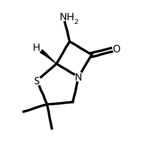 CC1(C)CN2C(=O)C(N)[C@H]2S1